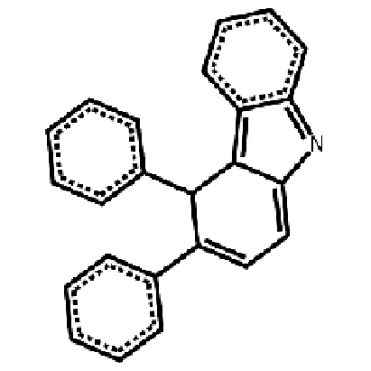 C1=C2N=c3ccccc3=C2C(c2ccccc2)C(c2ccccc2)=C1